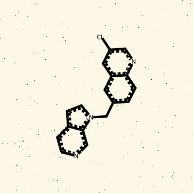 Clc1cnc2ccc(Cn3ccc4ccncc43)cc2c1